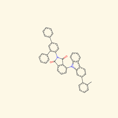 Cc1ccccc1-c1ccc2c3ccccc3n(-c3cccc4c3C(=O)N(c3ccc(-c5ccccc5)cc3-c3ccccc3)C4=O)c2c1